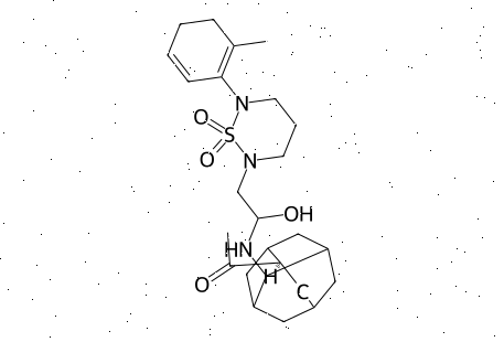 CC(=O)[C@@H]1CC2CC3CC1CC(C2)C3NC(O)CN1CCCN(C2=C(C)CCC=C2)S1(=O)=O